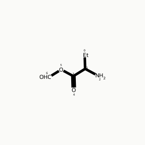 CCC(N)C(=O)OC=O